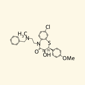 COc1ccc([C@@H]2Sc3cc(Cl)ccc3N(CCN(C)Cc3ccccc3)C(=O)[C@@H]2O)cc1